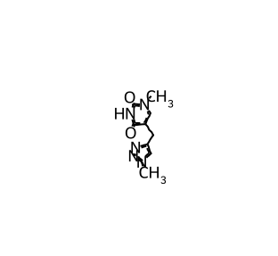 Cn1cc(Cc2cn(C)c(=O)[nH]c2=O)nn1